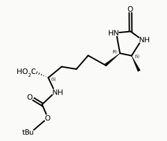 C[C@@H]1NC(=O)N[C@@H]1CCCC[C@H](NC(=O)OC(C)(C)C)C(=O)O